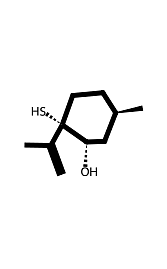 C=C(C)[C@@]1(S)CC[C@@H](C)C[C@@H]1O